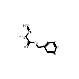 C[C@H](N=N)C(=O)OCc1ccccc1